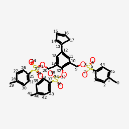 Cc1ccc(S(=O)(=O)OCc2cc(C3=CC=CC3)cc(COS(=O)(=O)c3ccc(C)cc3)c2OS(=O)(=O)c2ccc(C)cc2)cc1